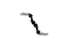 CCCCCCCCC[C@H]1CC[C@H](CCCOc2ccc(-c3ccc(OCCC[C@H]4CC[C@H](CCCCCCCCC)CC4)cc3)cc2)CC1